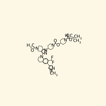 CC(=O)N1CCc2c(c(N3CCCc4cc(-c5cnn(C)c5)c(C(F)F)cc43)nn2C2CCN(C(=O)OC3CCN(C(=O)OC(C)(C)C)CC3)CC2)C1